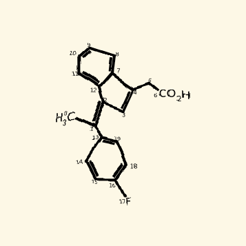 C/C(=C1/C=C(CC(=O)O)c2ccccc21)c1ccc(F)cc1